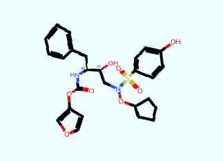 O=C(N[C@@H](Cc1ccccc1)[C@@H](O)CN(OC1CCCC1)S(=O)(=O)c1ccc(O)cc1)Oc1ccoc1